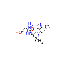 C[C@H]1C[C@@H](NC(=O)C2(N)CCC(O)CC2)CN(c2ccc(C#N)c3ncccc23)C1